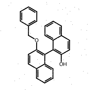 Oc1ccc2ccccc2c1-c1c(OCc2ccccc2)ccc2ccccc12